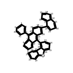 c1ccc(-c2c3ccccc3c(-c3cccc4oc5ccccc5c34)c3cc(-c4cccc5ccccc45)ccc23)cc1